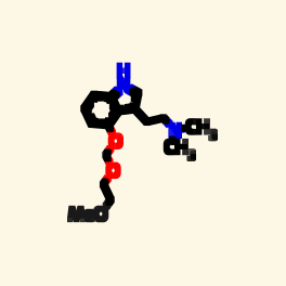 COCCOCOc1cccc2[nH]cc(CCN(C)C)c12